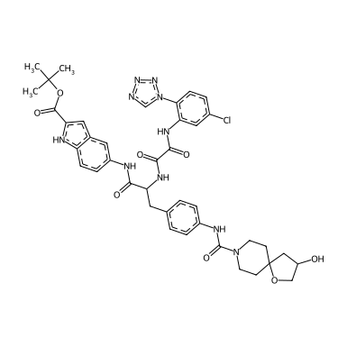 CC(C)(C)OC(=O)c1cc2cc(NC(=O)C(Cc3ccc(NC(=O)N4CCC5(CC4)CC(O)CO5)cc3)NC(=O)C(=O)Nc3cc(Cl)ccc3-n3cnnn3)ccc2[nH]1